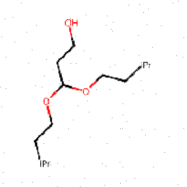 CC(C)CCOC(CCO)OCCC(C)C